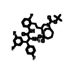 CC(C)(C)OC(=O)N1CC(CCc2c(F)cccc2NC(=O)[C@@H](N)[C@@H](c2ccc(F)cc2)c2cc(F)cc(F)c2)N2CC1CCCS2(=O)=O